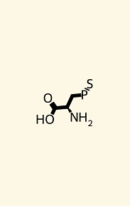 N[C@H](CP=S)C(=O)O